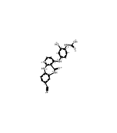 N#Cc1ccc2c(c1)NC(=O)c1c(Nc3ccc(NC(=O)O)c(O)c3)ccnc1N2